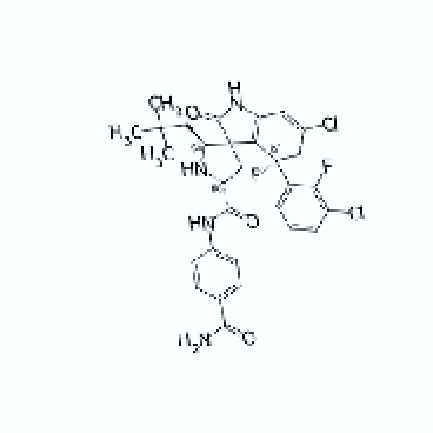 CC(C)(C)C[C@@H]1N[C@@H](C(=O)Nc2ccc(C(N)=O)cc2)CC12C(=O)NC1=C2[C@](F)(c2cccc(Cl)c2F)CC(Cl)=C1